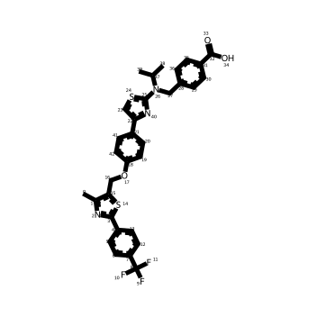 Cc1nc(-c2ccc(C(F)(F)F)cc2)sc1COc1ccc(-c2csc(N(Cc3ccc(C(=O)O)cc3)C(C)C)n2)cc1